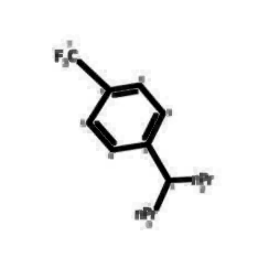 CCCC(CCC)c1ccc(C(F)(F)F)cc1